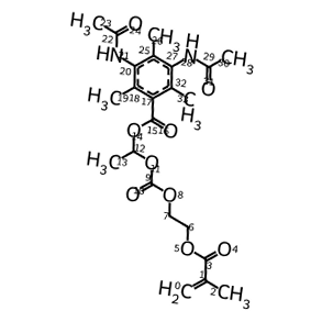 C=C(C)C(=O)OCCOC(=O)OC(C)OC(=O)c1c(C)c(NC(C)=O)c(C)c(NC(C)=O)c1C